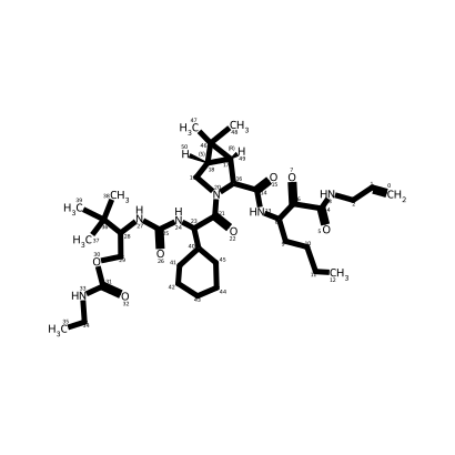 C=CCNC(=O)C(=O)C(CCCC)NC(=O)C1[C@@H]2[C@H](CN1C(=O)C(NC(=O)NC(COC(=O)NCC)C(C)(C)C)C1CCCCC1)C2(C)C